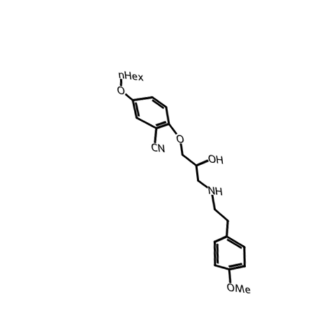 CCCCCCOc1ccc(OCC(O)CNCCc2ccc(OC)cc2)c(C#N)c1